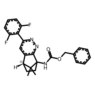 CC1(C)[C@@H]2CCC1(NC(=O)OCc1ccccc1)c1nnc(-c3c(F)cccc3F)cc12